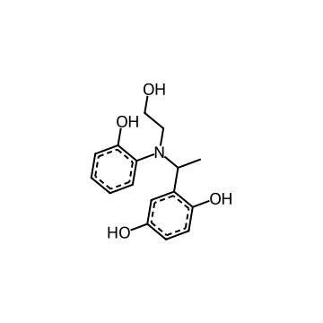 CC(c1cc(O)ccc1O)N(CCO)c1ccccc1O